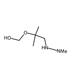 CNNCC(C)(C)OCO